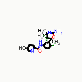 CC1(C)N=C(N)O[C@](C)(c2cc(NC(=O)c3ccc(C#N)cn3)ccc2F)C1(F)F